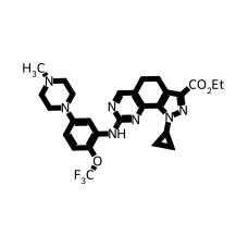 CCOC(=O)c1nn(C2CC2)c2c1CCc1cnc(Nc3cc(N4CCN(C)CC4)ccc3OC(F)(F)F)nc1-2